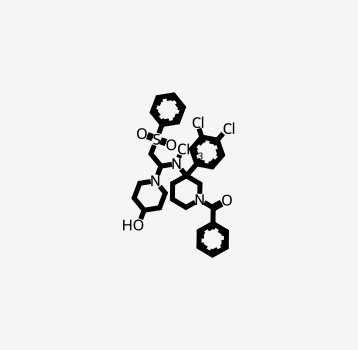 CN(C(CS(=O)(=O)c1ccccc1)N1CCC(O)CC1)C1(c2ccc(Cl)c(Cl)c2)CCCN(C(=O)c2ccccc2)C1